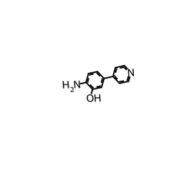 Nc1ccc(-c2ccncc2)cc1O